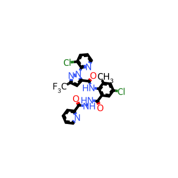 Cc1cc(Cl)cc(C(=O)NNC(=O)c2ccccn2)c1NC(=O)c1cc(C(F)(F)F)nn1-c1ncccc1Cl